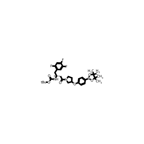 CC(C)(C)OC(=O)N[C@@H](CC(=O)N1CCC(Oc2ccc(B3OC(C)(C)C(C)(C)O3)cc2)C1)Cc1cc(F)c(F)cc1F